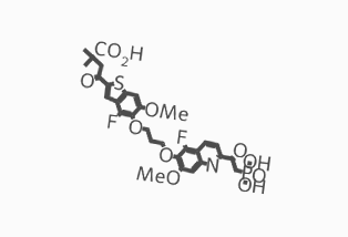 COc1cc2nc(C(=O)CP(=O)(O)O)ccc2c(F)c1OCCCOc1c(OC)cc2sc(C(=O)CC(C)(C)C(=O)O)cc2c1F